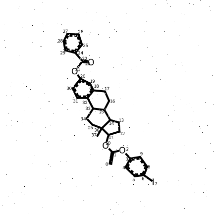 C=C(Oc1ccc(I)cc1)OC1CCC2C3CCc4cc(OC(=O)c5ccccc5)ccc4C3CCC12C